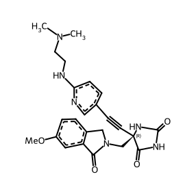 COc1ccc2c(c1)C(=O)N(C[C@@]1(C#Cc3ccc(NCCN(C)C)nc3)NC(=O)NC1=O)C2